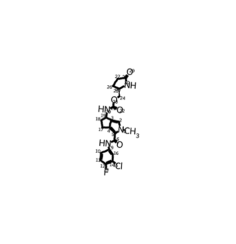 Cn1cc2c(c1C(=O)Nc1ccc(F)c(Cl)c1)CCC2NC(=O)OC[C@H]1CCC(=O)N1